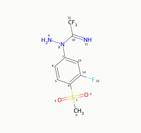 CS(=O)(=O)c1ccc(N(N)C(=N)C(F)(F)F)cc1F